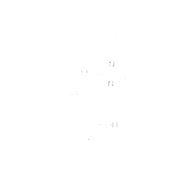 CCCn1cc(C(C)CC)n(Cc2cccc(-c3ccccc3)c2C(=O)O)c1=O